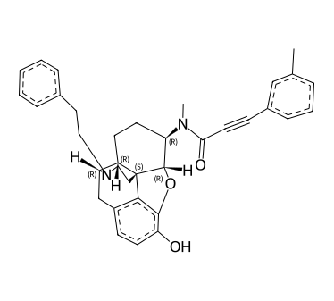 Cc1cccc(C#CC(=O)N(C)[C@@H]2CC[C@H]3[C@H]4Cc5ccc(O)c6c5[C@@]3(CCN4CCc3ccccc3)[C@H]2O6)c1